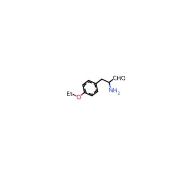 CCOc1ccc(CC(N)C=O)cc1